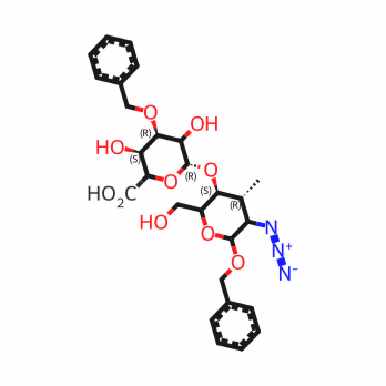 C[C@@H]1C(N=[N+]=[N-])C(OCc2ccccc2)OC(CO)[C@H]1O[C@@H]1OC(C(=O)O)[C@@H](O)[C@@H](OCc2ccccc2)C1O